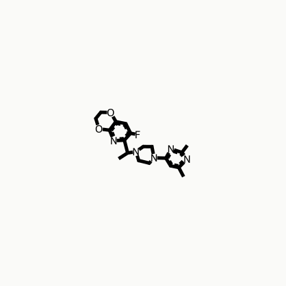 Cc1cc(N2CCN(C(C)c3nc4c(cc3F)OCCO4)CC2)nc(C)n1